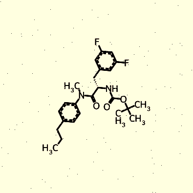 CCCc1ccc(N(C)C(=O)[C@H](Cc2cc(F)cc(F)c2)NC(=O)OC(C)(C)C)cc1